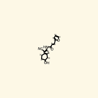 N#Cc1c(NC(=O)C=Cc2ccco2)sc2c1CCC(O)C2